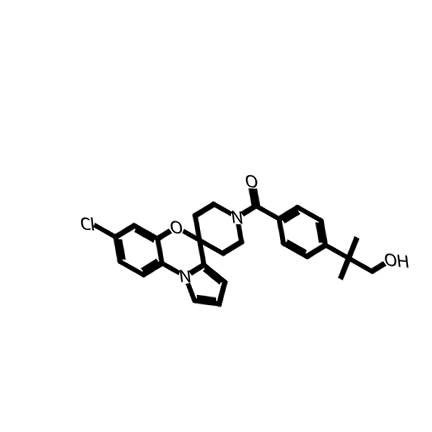 CC(C)(CO)c1ccc(C(=O)N2CCC3(CC2)Oc2cc(Cl)ccc2-n2cccc23)cc1